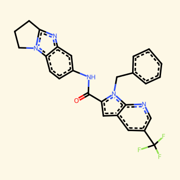 O=C(Nc1ccc2c(c1)nc1n2CCC1)c1cc2cc(C(F)(F)F)cnc2n1Cc1ccccc1